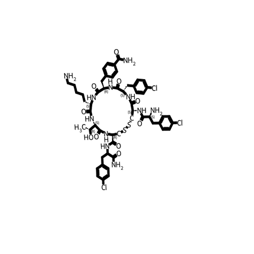 C[C@@H](O)[C@@H]1NC(=O)[C@H](CCCCCN)NC(=O)[C@@H](Cc2ccc(C(N)=O)cc2)NC(=O)[C@H](Cc2ccc(Cl)cc2)NC(=O)[C@H](NC(=O)[C@@H](N)Cc2ccc(Cl)cc2)CSSC[C@@H](C(=O)NC(Cc2ccc(Cl)cc2)C(N)=O)NC1=O